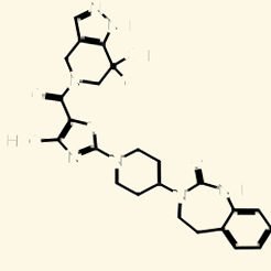 Cc1nc(N2CCC(N3CCc4ccccc4NC3=O)CC2)sc1C(=O)N1Cc2cn[nH]c2C(C)(C)C1